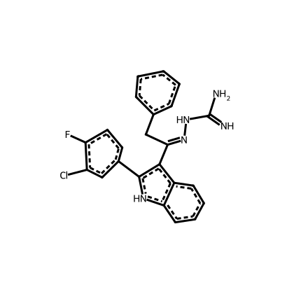 N=C(N)NN=C(Cc1ccccc1)c1c(-c2ccc(F)c(Cl)c2)[nH]c2ccccc12